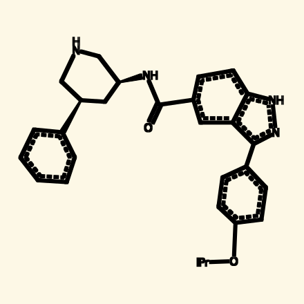 CC(C)Oc1ccc(-c2n[nH]c3ccc(C(=O)N[C@@H]4CNC[C@H](c5ccccc5)C4)cc23)cc1